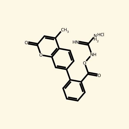 Cc1cc(=O)oc2cc(-c3ccccc3C(=O)ONC(=N)N)ccc12.Cl